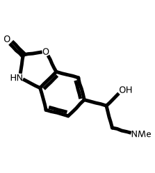 CNCC(O)c1ccc2[nH]c(=O)oc2c1